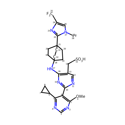 COc1ncnc(C2CC2)c1-c1ncc(CS(=O)(=O)O)c(NC23CCC(c4nc(C(F)(F)F)cn4C(C)C)(CC2)CC3)n1